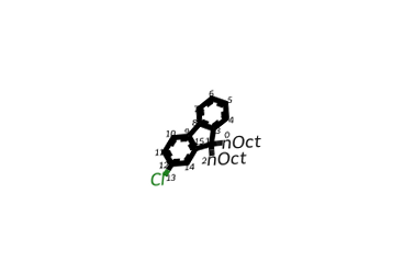 CCCCCCCCC1(CCCCCCCC)c2ccccc2-c2ccc(Cl)cc21